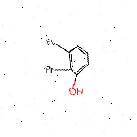 CCc1cccc(O)c1C(C)C